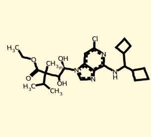 CCOC(=O)C(C)(C(C)C)C(O)[C@@H](O)n1cnc2c(NC(C3CCC3)C3CCC3)nc(Cl)cc21